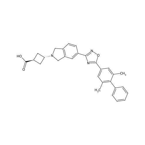 Cc1cc(-c2nc(-c3ccc4c(c3)CN([C@H]3C[C@H](C(=O)O)C3)C4)no2)cc(C)c1-c1ccccc1